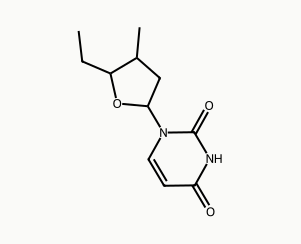 CCC1OC(n2ccc(=O)[nH]c2=O)CC1C